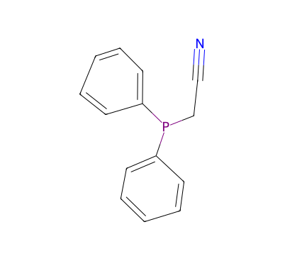 N#CCP(c1ccccc1)c1ccccc1